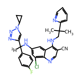 [2H]C(Nc1cc(Cl)c2ncc(C#N)c(NCC(C)(C)c3ccccn3)c2c1)(c1ccc(F)cc1)c1cn(C2CC2)nn1